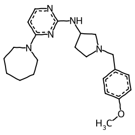 COc1ccc(CN2CCC(Nc3nccc(N4CCCCCC4)n3)C2)cc1